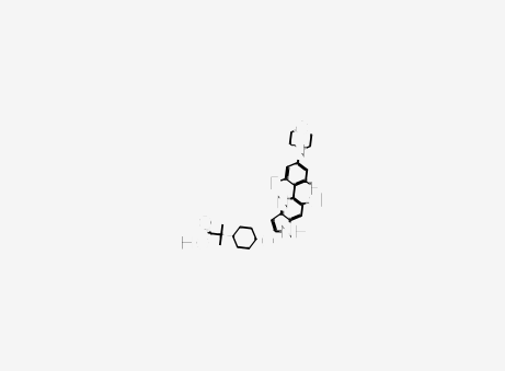 CC(C)(C(=O)O)[C@H]1CC[C@H](Oc2cc3nc(-c4c(F)cc(N5CCOCC5)cc4F)c(Cl)cc3[nH]2)CC1